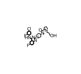 CN(C(=O)C1CCCN1CCCO)C1CCN(c2nc(Nc3ccc(Cl)cc3F)c3cc(F)ccc3n2)CC1